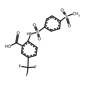 CS(=O)(=O)c1ccc(S(=O)(=O)Nc2ccc(C(F)(F)F)cc2C(=O)O)cc1